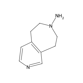 NN1CCc2ccncc2CC1